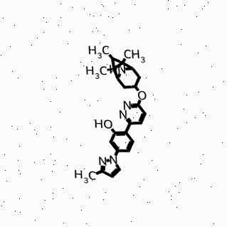 Cc1ccn(-c2ccc(-c3ccc(OC4CC5NC(C4)[C@]4(C)C(C)C54C)nn3)c(O)c2)n1